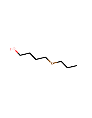 CCCSCCCCO